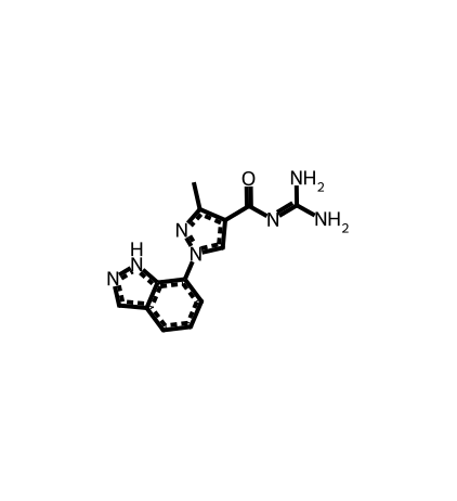 Cc1nn(-c2cccc3cn[nH]c23)cc1C(=O)N=C(N)N